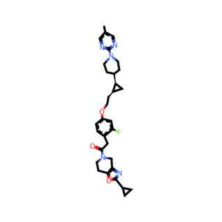 Cc1cnc(N2CCC([C@H]3C[C@H]3CCOc3ccc(CC(=O)N4CCc5oc(C6CC6)nc5C4)c(F)c3)CC2)nc1